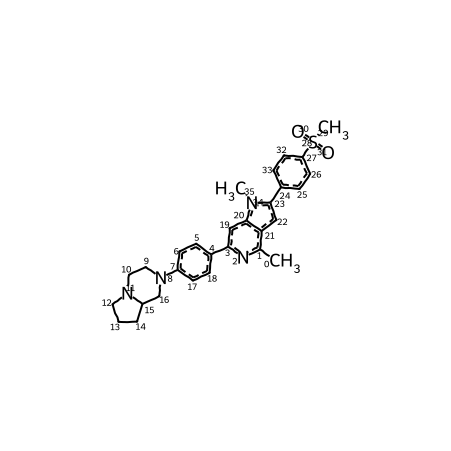 Cc1nc(-c2ccc(N3CCN4CCCC4C3)cc2)cc2c1cc(-c1ccc(S(C)(=O)=O)cc1)n2C